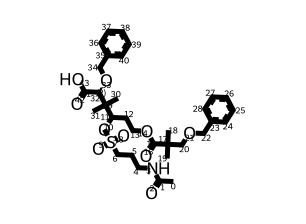 CC(=O)NCCCS(=O)(=O)OC(CCOC(=O)C(C)(C)COCc1ccccc1)C(C)(C)[C@@H](OCc1ccccc1)C(=O)O